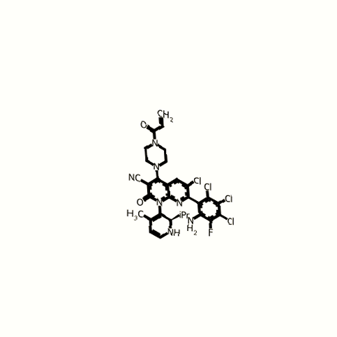 C=CC(=O)N1CCN(c2c(C#N)c(=O)n(C3=C(C)C=CN[C@@H]3C(C)C)c3nc(-c4c(N)c(F)c(Cl)c(Cl)c4Cl)c(Cl)cc23)CC1